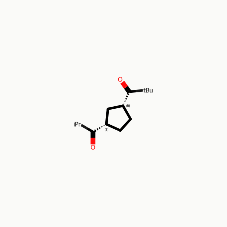 CC(C)C(=O)[C@H]1CC[C@@H](C(=O)C(C)(C)C)C1